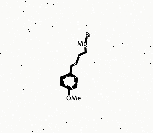 COc1ccc(CCC[CH2][Mg][Br])cc1